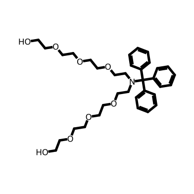 OCCOCCOCCOCCN(CCOCCOCCOCCO)C(c1ccccc1)(c1ccccc1)c1ccccc1